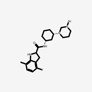 CC(=O)N1CCCN([C@H]2CCC[C@@H](NC(=O)C3Cc4c(F)ccc(C)c4N3)C2)C1